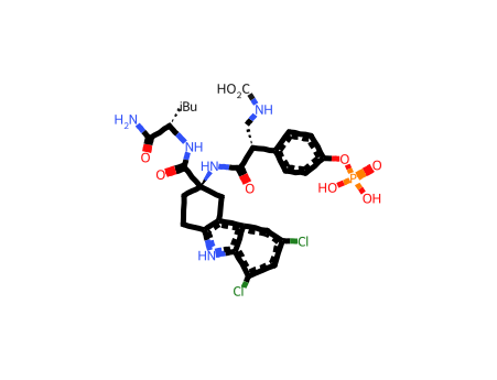 CCC(C)[C@H](NC(=O)[C@@]1(NC(=O)[C@H](CNC(=O)O)c2ccc(OP(=O)(O)O)cc2)CCc2[nH]c3c(Cl)cc(Cl)cc3c2C1)C(N)=O